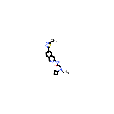 Cc1nnc(-c2ccc3cnc(NC(=O)CN(C)C4CCC4)cc3c2)s1